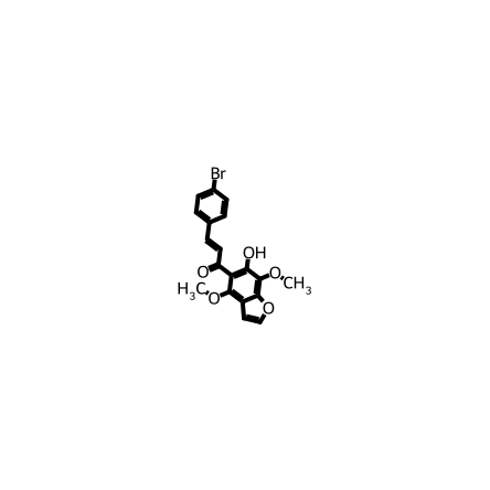 COc1c(C(=O)C=Cc2ccc(Br)cc2)c(O)c(OC)c2occc12